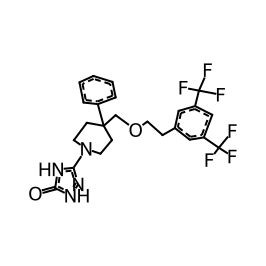 O=c1[nH]nc(N2CCC(COCCc3cc(C(F)(F)F)cc(C(F)(F)F)c3)(c3ccccc3)CC2)[nH]1